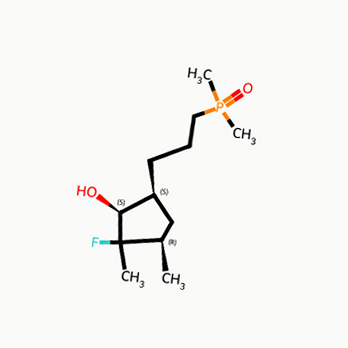 C[C@@H]1C[C@H](CCCP(C)(C)=O)[C@H](O)C1(C)F